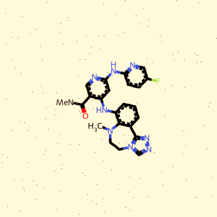 CNC(=O)c1cnc(Nc2ccc(F)cn2)cc1Nc1cccc2c1N(C)CCn1cnnc1-2